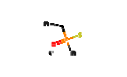 CC(C)CP(=O)([S-])C(C)C.[K+]